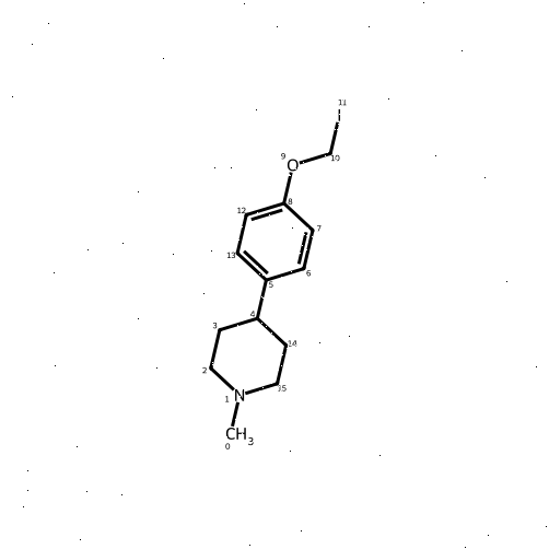 CN1CCC(c2ccc(OCI)cc2)CC1